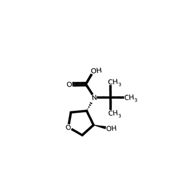 CC(C)(C)N(C(=O)O)[C@H]1COC[C@@H]1O